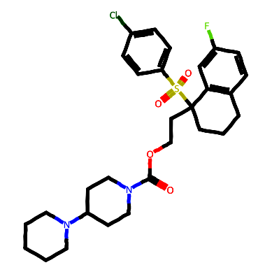 O=C(OCCC1(S(=O)(=O)c2ccc(Cl)cc2)CCCc2ccc(F)cc21)N1CCC(N2CCCCC2)CC1